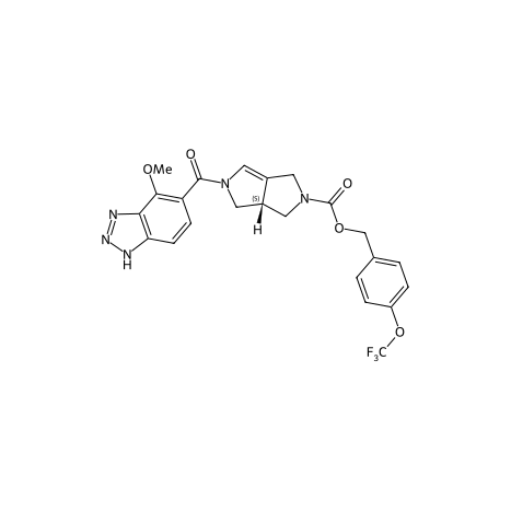 COc1c(C(=O)N2C=C3CN(C(=O)OCc4ccc(OC(F)(F)F)cc4)C[C@@H]3C2)ccc2[nH]nnc12